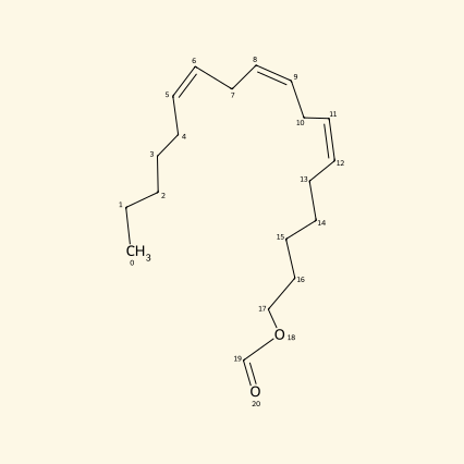 CCCCC/C=C\C/C=C\C/C=C\CCCCCOC=O